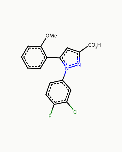 COc1ccccc1-c1cc(C(=O)O)nn1-c1ccc(F)c(Cl)c1